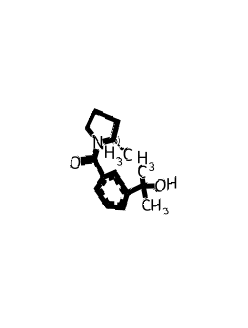 C[C@H]1CCCN1C(=O)c1cccc(C(C)(C)O)c1